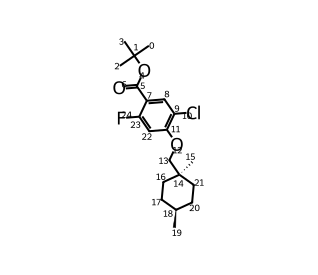 CC(C)(C)OC(=O)c1cc(Cl)c(OC[C@]2(C)CC[C@H](C)CC2)cc1F